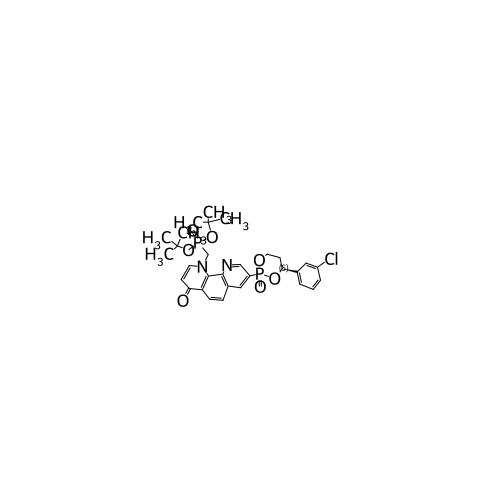 CC(C)(C)OP(=O)(Cn1ccc(=O)c2ccc3cc(P4(=O)OCC[C@@H](c5cccc(Cl)c5)O4)cnc3c21)OC(C)(C)C